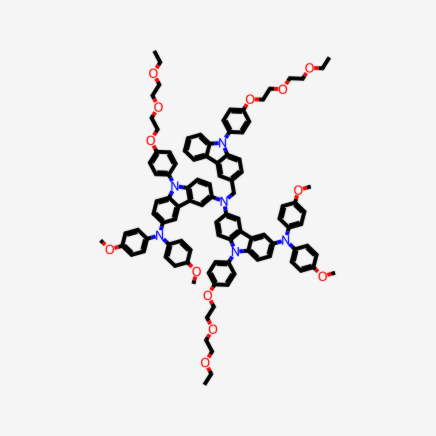 CCOCCOCCOc1ccc(-n2c3ccccc3c3cc(CN(c4ccc5c(c4)c4cc(N(C6=CCC(OC)C=C6)c6ccc(OC)cc6)ccc4n5-c4ccc(OCCOCCOCC)cc4)c4ccc5c(c4)c4cc(N(c6ccc(OC)cc6)c6ccc(OC)cc6)ccc4n5-c4ccc(OCCOCCOCC)cc4)ccc32)cc1